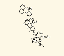 CO[C@@H]1[C@@H](OC(N)O)[C@@H](O)[C@H](Oc2ccc3c(O)c(NC(=O)c4ccc(O)c(-c5cccc6ccccc56)c4)c(=O)oc3c2C)OC1(C)C